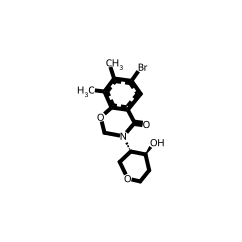 Cc1c(Br)cc2c(c1C)OCN([C@H]1COCC[C@@H]1O)C2=O